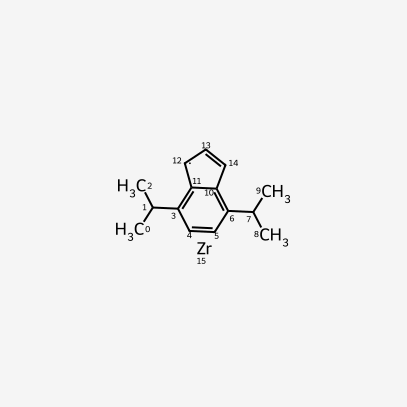 CC(C)c1ccc(C(C)C)c2c1[CH]C=C2.[Zr]